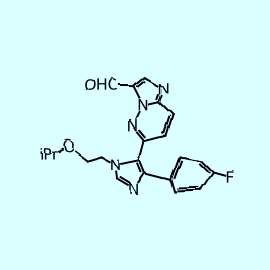 CC(C)OCCn1cnc(-c2ccc(F)cc2)c1-c1ccc2ncc(C=O)n2n1